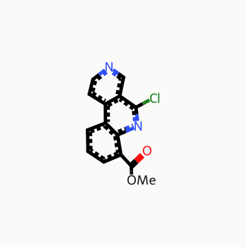 COC(=O)c1cccc2c1nc(Cl)c1cnccc12